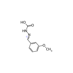 COc1cccc(/C=N/NC(=O)O)c1